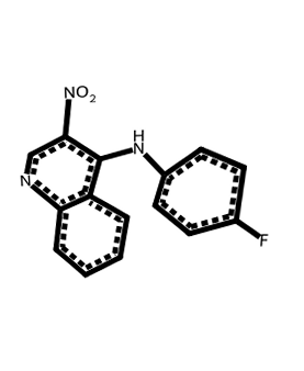 O=[N+]([O-])c1cnc2ccccc2c1Nc1ccc(F)cc1